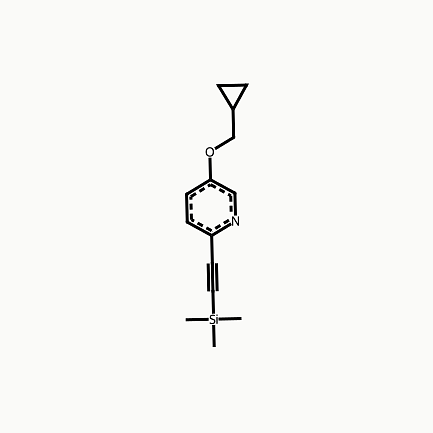 C[Si](C)(C)C#Cc1ccc(OCC2CC2)cn1